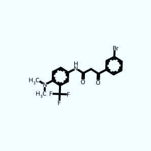 CN(C)c1ccc(NC(=O)CC(=O)c2cccc(Br)c2)cc1C(F)(F)F